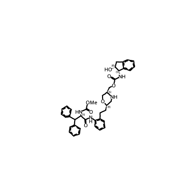 COC(=O)N[C@H](C(=O)Nc1ccccc1CC[C@@H]1CN[C@H](COC(=O)N[C@H]2c3ccccc3C[C@H]2O)CO1)C(c1ccccc1)c1ccccc1